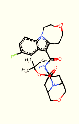 CC(C)(C)OC(=O)N1C2COCC1CC(NC(=O)c1c3n(c4ccc(F)cc14)CCOCC3)C2